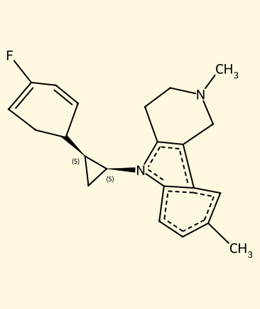 Cc1ccc2c(c1)c1c(n2[C@H]2C[C@H]2C2C=CC(F)=CC2)CCN(C)C1